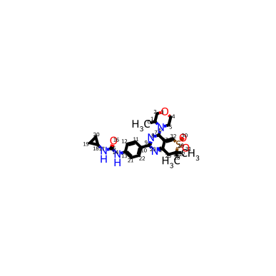 CC1COCCN1C1N=C(c2ccc(NC(=O)NC3CC3)cc2)N=C2CC(C)(C)S(=O)(=O)C=C21